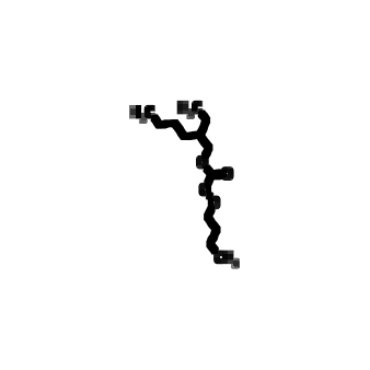 CCCCOOC(=O)OCC(CC)CCCC